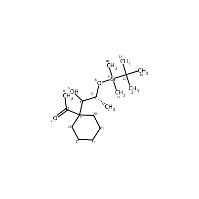 CC(=O)C1(C(O)[C@@H](C)O[Si](C)(C)C(C)(C)C)CCCCC1